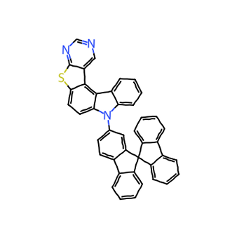 c1ccc2c(c1)-c1ccccc1C21c2ccccc2-c2ccc(-n3c4ccccc4c4c5c(ccc43)sc3ncncc35)cc21